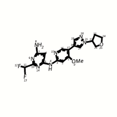 COc1cc(Nc2cc(N)nc(C(F)F)n2)ncc1-c1cnn(C2CCOC2)c1